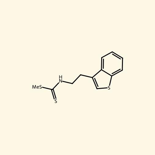 C[SH2]C(=S)NCCc1csc2ccccc12